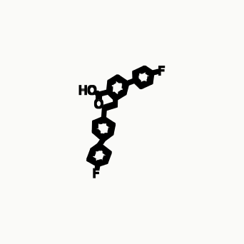 O=C(O)c1ccc(-c2ccc(F)cc2)cc1C=Cc1ccc(-c2ccc(F)cc2)cc1